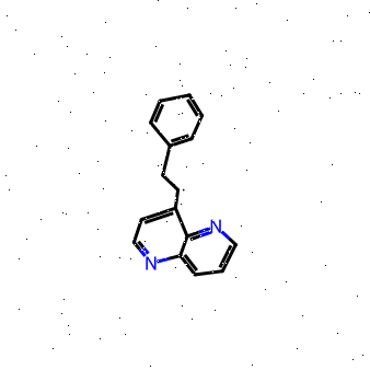 [CH](Cc1ccccc1)c1ccnc2cccnc12